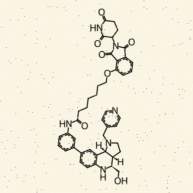 O=C1CCC(N2C(=O)c3cccc(OCCCCCCC(=O)Nc4cccc(-c5ccc6c(c5)[C@H]5[C@H](CCN5Cc5ccncc5)[C@@H](CO)N6)c4)c3C2=O)C(=O)N1